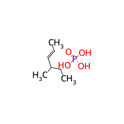 CC=CC(C)CC.O=P(O)(O)O